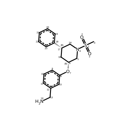 CS(=O)(=O)N1C[C@H](Oc2cccc(CN)c2)C[C@H](c2ccccc2)C1